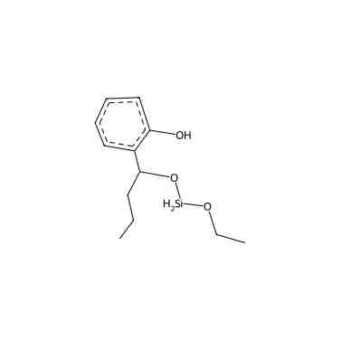 CCCC(O[SiH2]OCC)c1ccccc1O